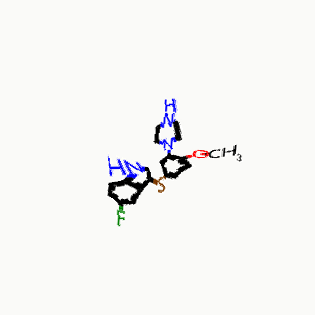 COc1ccc(Sc2c[nH]c3ccc(F)cc23)cc1N1CCNCC1